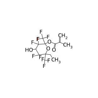 C=C(C)C(=O)OC1(C(F)(F)F)OC(CC)(C(F)(F)F)C(F)(F)C(O)C1(F)F